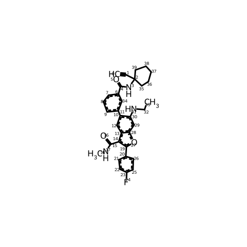 C#CC1(NC(=O)c2cccc(-c3cc4c(C(=O)NC)c(-c5ccc(F)cc5)oc4cc3NCC)c2)CCCCC1